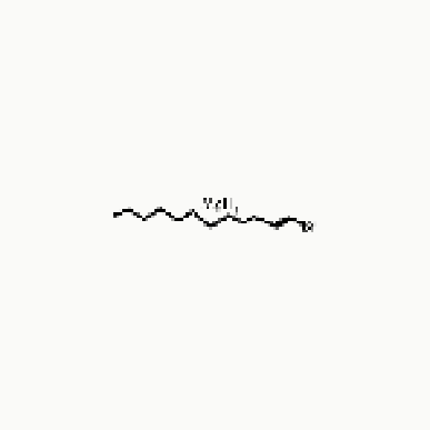 CCCCCCCCCCC=CBr.[MgH2]